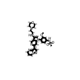 COc1cc(NS(C)(=O)=O)ccc1-n1nc(NCCN2CCOCC2)c2cnc(-c3cnn4cccnc34)cc21